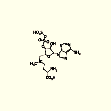 C[S+](CC[C@H](N)C(=O)O)C[C@H]1O[C@@H](n2cnc3c(N)ncnc32)[C@H](O)[C@@H]1OS(=O)(=O)OS(=O)(=O)O